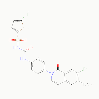 CNc1cc2ccn(-c3ccc(NC(=O)NS(=O)(=O)c4ccc(Cl)s4)cc3)c(=O)c2cc1Br